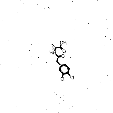 C[C@H](NC(=O)Cc1ccc(Cl)c(Cl)c1)C(=O)O